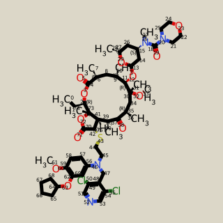 CC[C@H]1OC(=O)[C@H](C)C[C@H](C)[C@@H](OC2C[C@@H](N(C)C(=O)N3CCOCC3)C[C@@H](C)O2)[C@](C)(OC)C[C@@H](C)C(=O)[C@H](C)[C@H]2[C@H](SCCN(Cc3c(Cl)cncc3Cl)c3ccc(OC)c(OC4CCCC4)c3)C(=O)O[C@@]21C